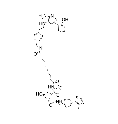 Cc1ncsc1-c1ccc(CNC(=O)[C@@H]2C[C@@H](O)CN2C(=O)[C@@H](NC(=O)CCCCCCCCC(=O)NCc2ccc(CCNc3cc(-c4ccccc4O)nnc3N)cc2)C(C)(C)C)cc1